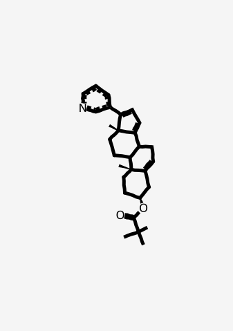 CC(C)(C)C(=O)O[C@H]1CC[C@@]2(C)C(=CCC3C4=CC=C(c5cccnc5)[C@@]4(C)CCC32)C1